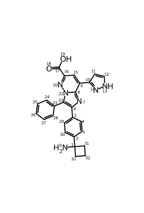 NC1(c2ccc(-c3nc4c(-c5cc[nH]n5)cc(C(=O)O)nn4c3-c3ccccc3)cc2)CCC1